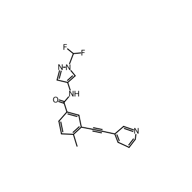 Cc1ccc(C(=O)Nc2cnn(C(F)F)c2)cc1C#Cc1cccnc1